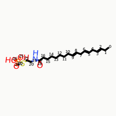 CCC=CCC=CCC=CCCCCCCCC(=O)NCCSP(=O)(O)O